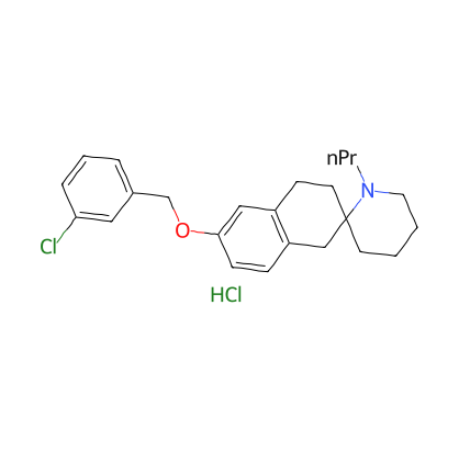 CCCN1CCCCC12CCc1cc(OCc3cccc(Cl)c3)ccc1C2.Cl